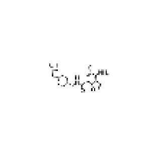 CC(C)(O)CN1CCC(CNC(=O)c2cc(Cl)c(N)c3ccoc23)CC1